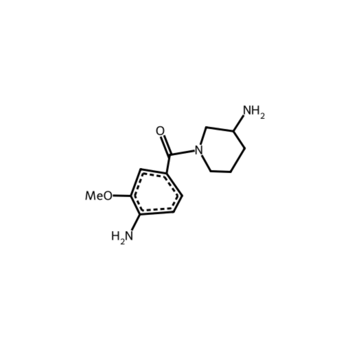 COc1cc(C(=O)N2CCCC(N)C2)ccc1N